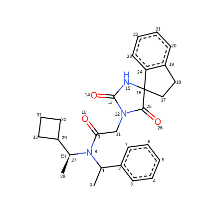 CC(c1ccccc1)N(C(=O)CN1C(=O)NC2(CCc3ccccc32)C1=O)[C@@H](C)C1CCC1